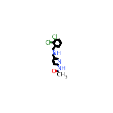 CC(=O)Nc1ccc(CNCc2cccc(Cl)c2Cl)cn1